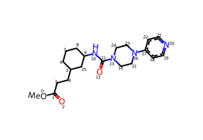 COC(=O)CCC1CCCC(NC(=O)N2CCN(c3ccncc3)CC2)C1